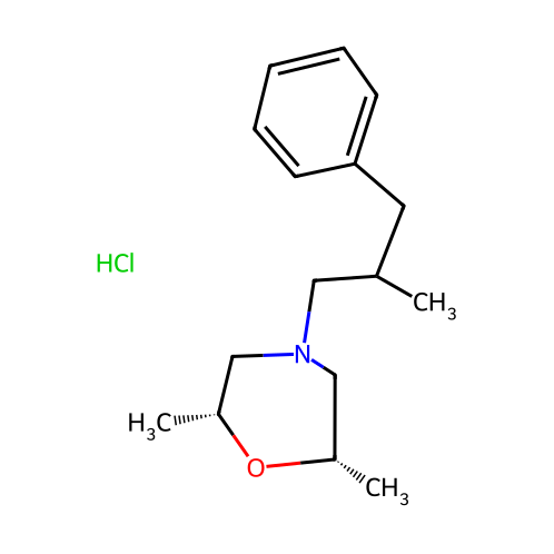 CC(Cc1ccccc1)CN1C[C@@H](C)O[C@@H](C)C1.Cl